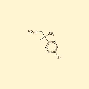 CC(CS(=O)(=O)O)(c1ccc(Br)cc1)C(F)(F)F